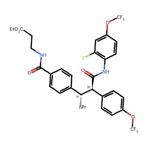 CCC[C@H](c1ccc(C(=O)NCCC(=O)OCC)cc1)[C@@H](C(=O)Nc1ccc(OC(F)(F)F)cc1F)c1ccc(OC(F)(F)F)cc1